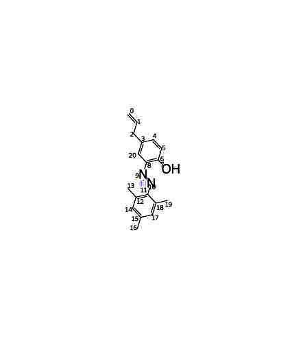 C=CCc1ccc(O)c(/N=N/c2c(C)cc(C)cc2C)c1